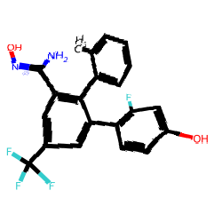 Cc1ccccc1-c1c(/C(N)=N/O)cc(C(F)(F)F)cc1-c1ccc(O)cc1F